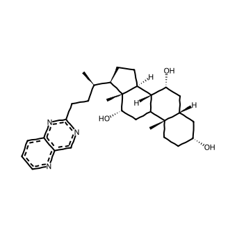 C[C@H](CCc1ncc2ncccc2n1)[C@H]1CC[C@H]2[C@H]3C(C[C@H](O)[C@]12C)[C@@]1(C)CC[C@@H](O)C[C@H]1C[C@H]3O